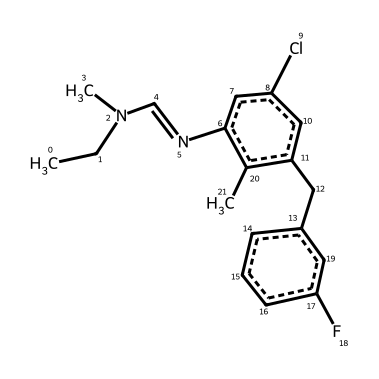 CCN(C)C=Nc1cc(Cl)cc(Cc2cccc(F)c2)c1C